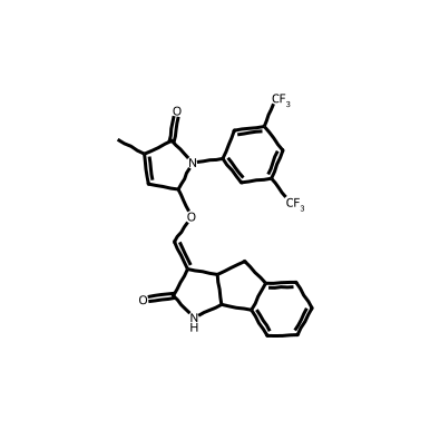 CC1=CC(OC=C2C(=O)NC3c4ccccc4CC23)N(c2cc(C(F)(F)F)cc(C(F)(F)F)c2)C1=O